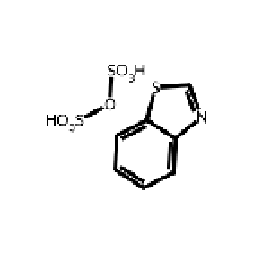 O=S(=O)(O)OS(=O)(=O)O.c1ccc2scnc2c1